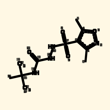 Cc1noc(C)c1S(=O)(=O)NNC(=O)NC(C)(C(F)(F)F)C(F)(F)F